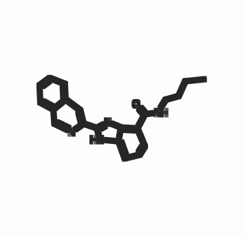 CCCCNC(=O)c1cccc2[nH]c(-c3cc4ccccc4cn3)nc12